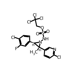 C[C@@]1(c2ccc(Cl)nc2)[C@@H](c2ccc(Cl)c(F)c2)N1NS(=O)(=O)OCC(Cl)(Cl)Cl